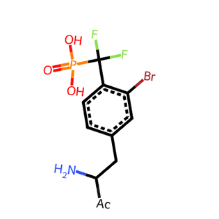 CC(=O)C(N)Cc1ccc(C(F)(F)P(=O)(O)O)c(Br)c1